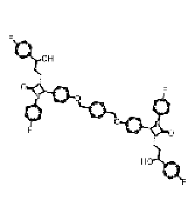 O=C1[C@H](CC[C@H](O)c2ccc(F)cc2)[C@@H](c2ccc(OCc3ccc(COc4ccc([C@@H]5[C@@H](CC[C@H](O)c6ccc(F)cc6)C(=O)N5c5ccc(F)cc5)cc4)cc3)cc2)N1c1ccc(F)cc1